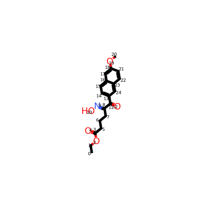 CCOC(=O)CCCC(=NO)C(=O)c1ccc2cc(OC)ccc2c1